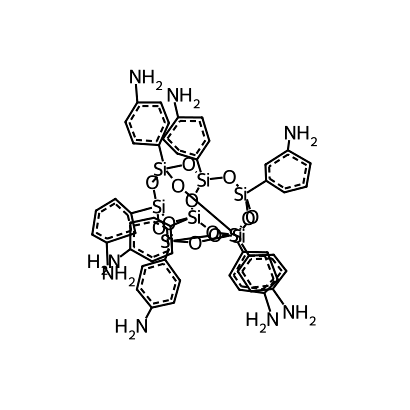 Nc1ccc([Si]23O[Si]4(c5ccc(N)cc5)O[Si]5(c6ccc(N)cc6)O[Si]6(c7ccc(N)cc7)O[Si](c7ccc(N)cc7)(O[Si](c7ccc(N)cc7)(O2)O[Si](c2cccc(N)c2)(O4)O6)O[Si](c2cccc(N)c2)(O3)O5)cc1